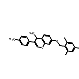 COc1ccc(C2=COc3cc(OCc4c(C)cc(C)cc4C)ccc3C2C=O)cc1